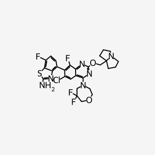 Nc1nc2c(-c3c(Cl)cc4c(N5CCOCC(F)(F)C5)nc(OCC56CCCN5CCC6)nc4c3F)ccc(F)c2s1